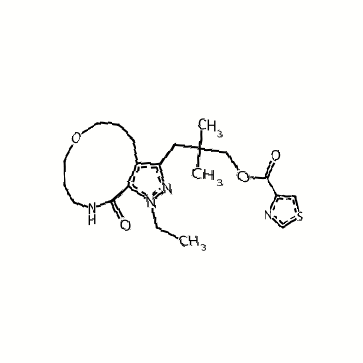 CCn1nc(CC(C)(C)COC(=O)c2cscn2)c2c1C(=O)NCCCOCCC2